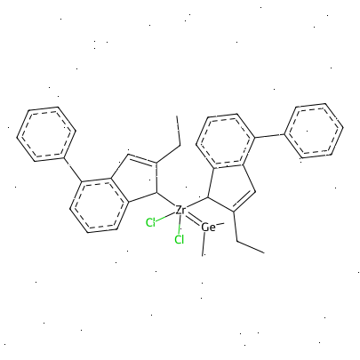 CCC1=Cc2c(-c3ccccc3)cccc2[CH]1[Zr]([Cl])([Cl])([CH]1C(CC)=Cc2c(-c3ccccc3)cccc21)=[Ge]([CH3])[CH3]